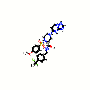 CCC(F)(F)c1ccc(CNC(=O)[C@H]2CN(c3ccn4ncnc4n3)CCN2S(=O)(=O)c2ccc(OC(F)(F)F)cc2)cc1